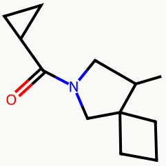 CC1CN(C(=O)C2CC2)CC12CCC2